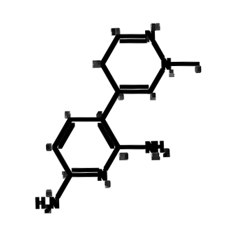 CN1C=C(c2ccc(N)nc2N)CC=N1